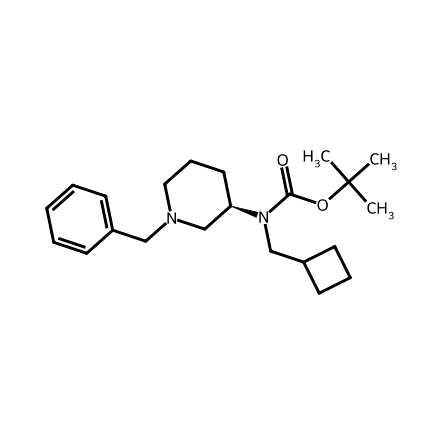 CC(C)(C)OC(=O)N(CC1CCC1)[C@@H]1CCCN(Cc2ccccc2)C1